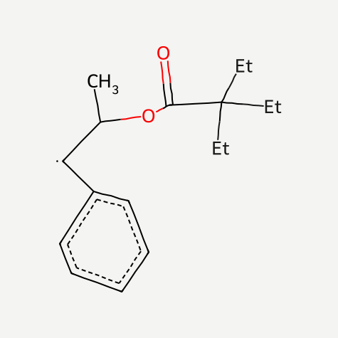 CCC(CC)(CC)C(=O)OC(C)[CH]c1ccccc1